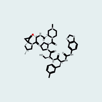 Cc1cccc(C[C@H](NC(=O)Nc2ccc3c(c2)OCO3)C(=O)N[C@@H](CO)C(=O)N2CCC[C@H]2C(=O)N2CCN(C)C[C@H]2C(=O)N[C@@H](C)C(=O)N2C[C@H](C)C[C@@]23CC3=O)c1